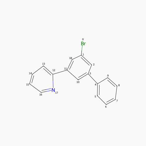 Brc1cc(-c2ccccc2)cc(-c2ccccn2)c1